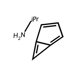 CC(C)N.c1cc2cc-2c1